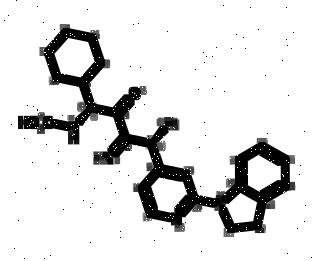 CC[C@H](C(=N)C(=O)[C@@H](NC(=O)O)C1CCCCC1)c1ccnc(N2CCc3ccccc32)c1